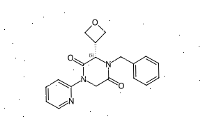 O=C1[C@H](C2COC2)N(Cc2ccccc2)C(=O)CN1c1ccccn1